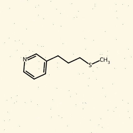 CSCCCc1cccnc1